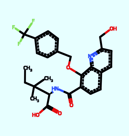 CCC(C)(C)[C@H](NC(=O)c1ccc2ccc(CO)nc2c1OCc1ccc(C(F)(F)F)cc1)C(=O)O